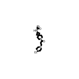 CCN1CCN(CCC(=O)N2CCC3(CC2)CC(NC(=O)C(C)C)C3)CC1